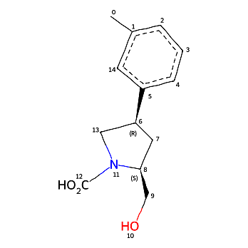 Cc1cccc([C@H]2C[C@@H](CO)N(C(=O)O)C2)c1